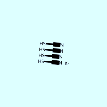 N#CS.N#CS.N#CS.N#CS.[K]